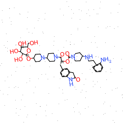 Nc1ccccc1CCNC1CCN(C(=O)O[C@H](Cc2ccc3c(c2)CC(=O)N3)C(=O)N2CCC(N3CCC(O[C@H]4OC(CO)[C@@H](O)C(O)C4O)CC3)CC2)CC1